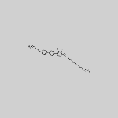 CCCCCCCCCCCCOc1ccc(-c2ccc(-c3ccc(CCCCC)cc3)cc2)c(F)c1F